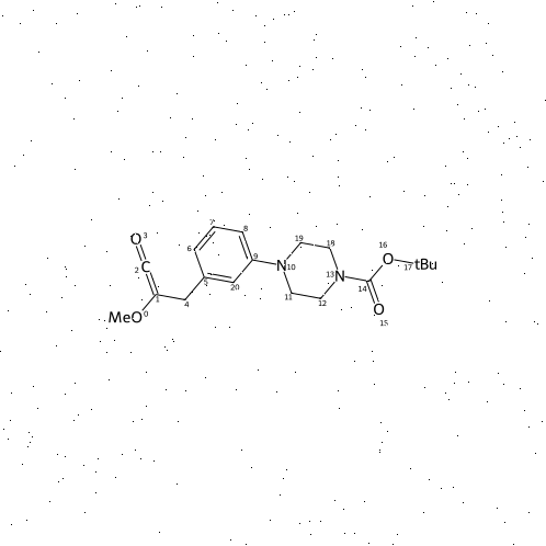 COC(=C=O)Cc1cccc(N2CCN(C(=O)OC(C)(C)C)CC2)c1